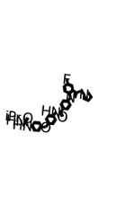 CC(C)NC(=O)Nc1ccc(Oc2ccc(NC(=O)c3ccc(-n4cc(CN5CCCC5)c5cc(F)ccc54)cc3)cc2)cc1